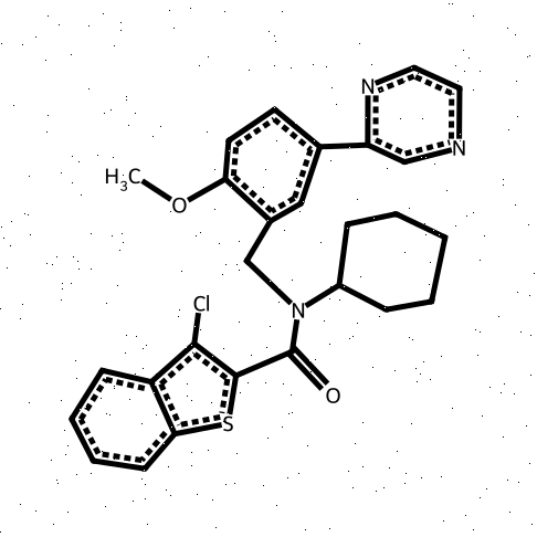 COc1ccc(-c2cnccn2)cc1CN(C(=O)c1sc2ccccc2c1Cl)C1CCCCC1